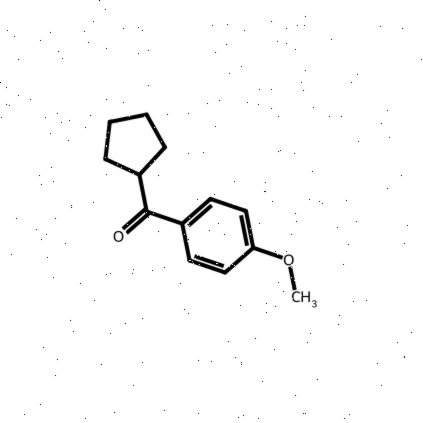 COc1ccc(C(=O)C2CCCC2)cc1